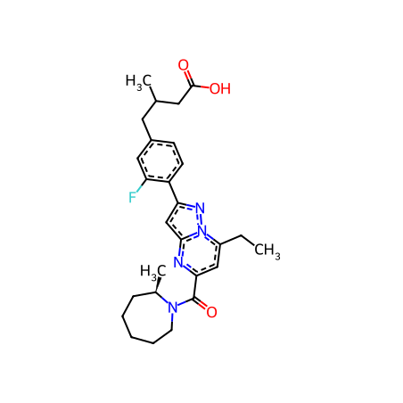 CCc1cc(C(=O)N2CCCCC[C@H]2C)nc2cc(-c3ccc(CC(C)CC(=O)O)cc3F)nn12